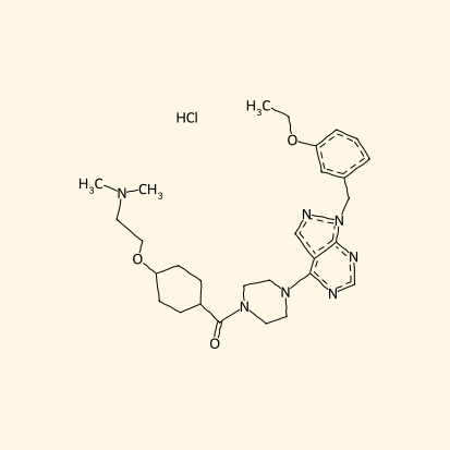 CCOc1cccc(Cn2ncc3c(N4CCN(C(=O)C5CCC(OCCN(C)C)CC5)CC4)ncnc32)c1.Cl